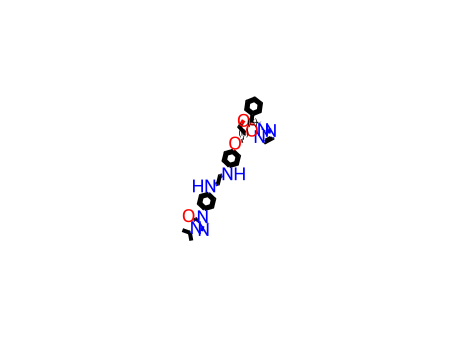 CC(C)n1ncn(-c2ccc(NCCNc3ccc(OC[C@@H]4CO[C@@](Cn5nccn5)(c5ccccc5)O4)cc3)cc2)c1=O